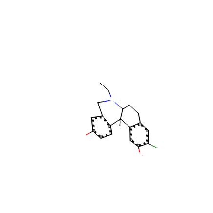 CCN1Cc2cc(O)ccc2[C@H]2c3cc(O)c(F)cc3CC[C@@H]21